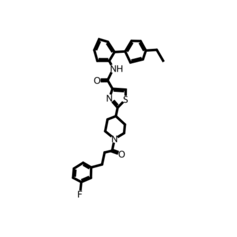 CCc1ccc(-c2ccccc2NC(=O)c2csc(C3CCN(C(=O)CCc4cccc(F)c4)CC3)n2)cc1